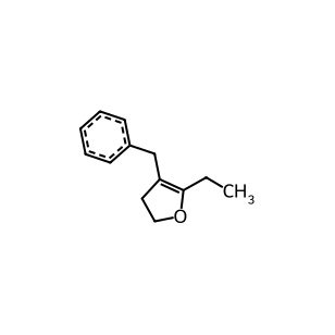 CCC1=C(Cc2ccccc2)CCO1